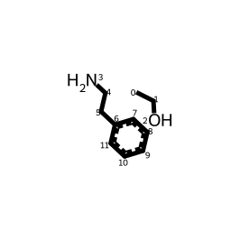 CCO.NCCc1ccccc1